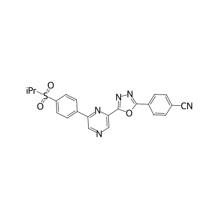 CC(C)S(=O)(=O)c1ccc(-c2cncc(-c3nnc(-c4ccc(C#N)cc4)o3)n2)cc1